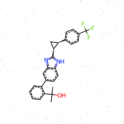 CC(C)(O)c1ccccc1-c1ccc2[nH]c([C@H]3C[C@H]3c3ccc(C(F)(F)F)cc3)nc2c1